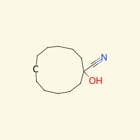 N#CC1(O)CCCCCCCCCCC1